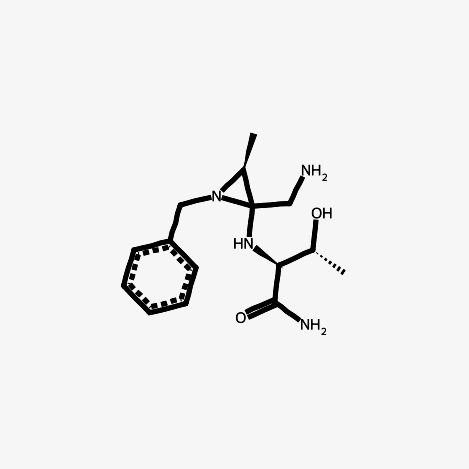 C[C@@H]1N(Cc2ccccc2)C1(CN)N[C@H](C(N)=O)[C@@H](C)O